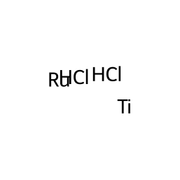 Cl.Cl.[Ru].[Ti]